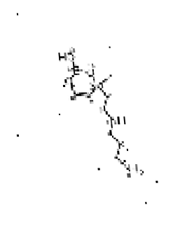 C[Si]1(CCNCCCN)C=COB(O)O1